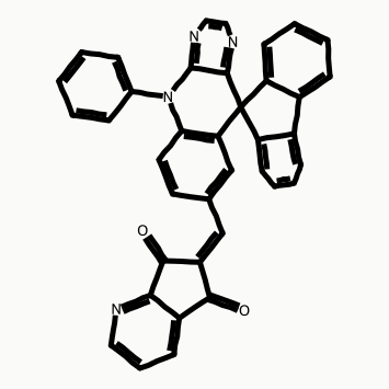 O=C1/C(=C/c2ccc3c(c2)C2(c4ccccc4-c4ccccc42)c2nccnc2N3c2ccccc2)C(=O)c2ncccc21